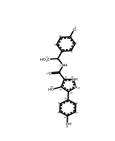 O=C(NC(C(=O)O)c1ccc(Cl)cc1)c1[nH]nc(-c2ccc(O)cc2)c1O